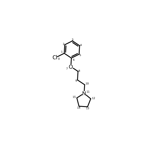 Clc1ccccc1OCCCN1CCCC1